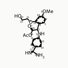 COc1ccc(C(Nc2ccc(C(=N)N)cc2)C(=O)OC(C)=O)c(OCCO)c1